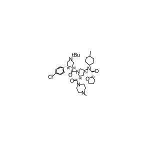 CC1CCC(N(C(=O)[C@@H]2CCCO2)[C@H]2C[C@H](C(=O)N3CCN(C)CC3)N(C(=O)[C@@H]3CN(C(C)(C)C)C[C@H]3c3ccc(Cl)cc3)C2)CC1